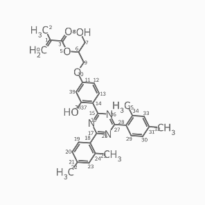 C=C(C)C(=O)OC(CO)COc1ccc(-c2nc(-c3ccc(C)cc3C)nc(-c3ccc(C)cc3C)n2)c(O)c1